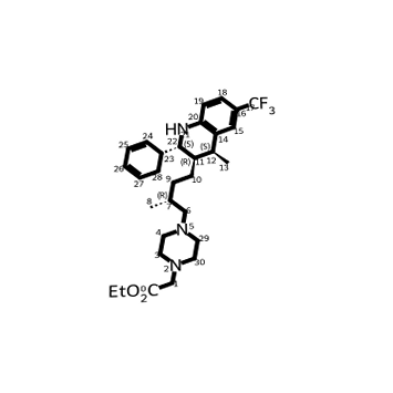 CCOC(=O)CN1CCN(C[C@H](C)CC[C@@H]2[C@H](C)c3cc(C(F)(F)F)ccc3N[C@H]2C2C=CC=CC2)CC1